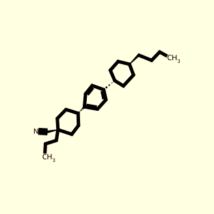 CCCC[C@H]1CC[C@H](c2ccc([C@H]3CC[C@@](C#N)(CCC)CC3)cc2)CC1